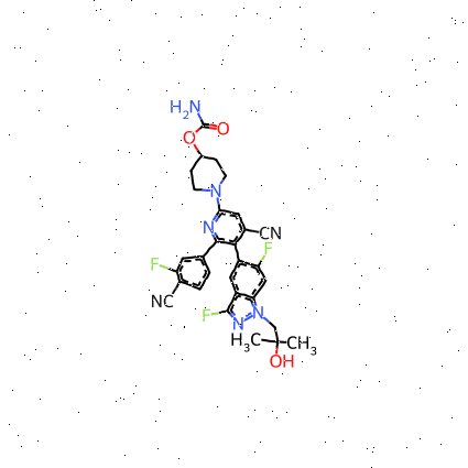 CC(C)(O)Cn1nc(F)c2cc(-c3c(C#N)cc(N4CCC(OC(N)=O)CC4)nc3-c3ccc(C#N)c(F)c3)c(F)cc21